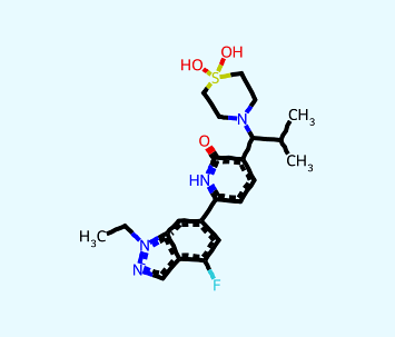 CCn1ncc2c(F)cc(-c3ccc(C(C(C)C)N4CCS(O)(O)CC4)c(=O)[nH]3)cc21